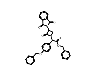 O=C(OCc1ccccc1)C(c1ccc(OCc2ccccc2)cc1)N1CC(N2C(=O)c3ccccc3C2=O)C1=O